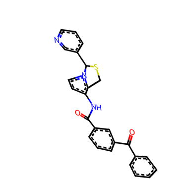 O=C(Nc1ccn2c1CSC2c1cccnc1)c1cccc(C(=O)c2ccccc2)c1